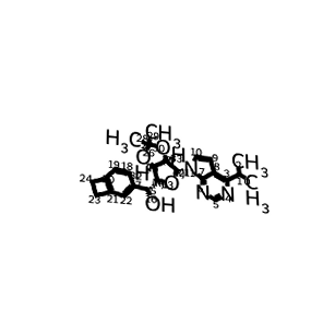 CC(C)c1ncnc2c1ccn2[C@@H]1O[C@H](C(O)c2ccc3c(c2)CC3)[C@H]2OC(C)(C)O[C@H]21